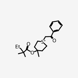 CCC(C)(C)C(=O)OC1(C)CC[S+](CC(=O)c2ccccc2)CC1